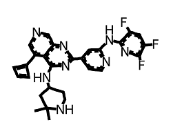 CC1(C)CC(Nc2nc(-c3ccnc(Nc4nc(F)c(F)cc4F)c3)nc3cncc(C4=CC=C4)c23)CCN1